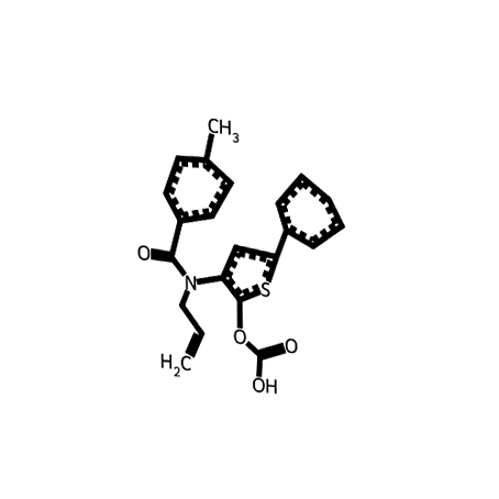 C=CCN(C(=O)c1ccc(C)cc1)c1cc(-c2ccccc2)sc1OC(=O)O